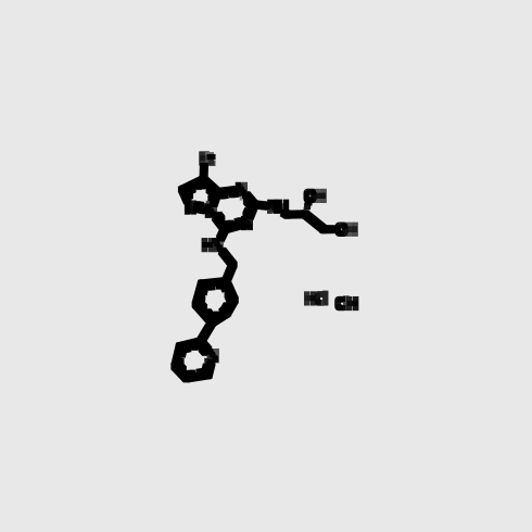 CCc1cnn2c(NCc3ccc(-c4ccccn4)cc3)nc(NC[C@H](O)CO)nc12.Cl.Cl